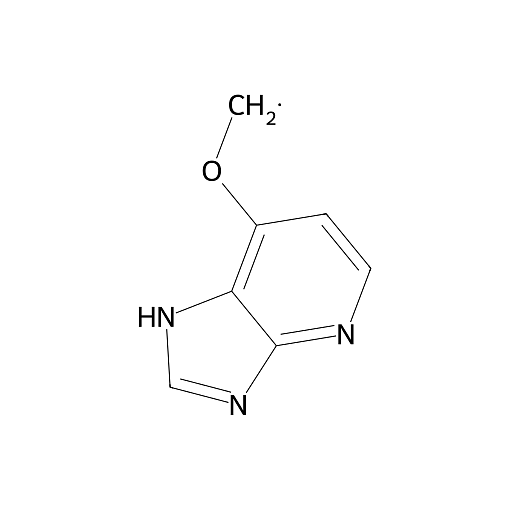 [CH2]Oc1ccnc2nc[nH]c12